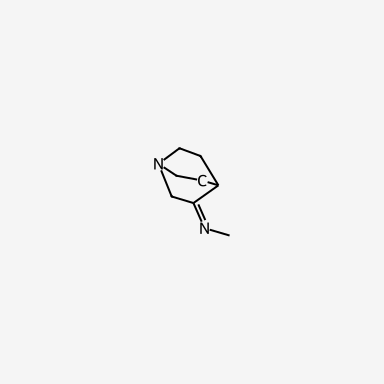 C/N=C1/CN2CCC1CC2